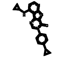 O=c1c2sc3nccc(NC4CC4)c3c2ncn1-c1ccc(C2CC2)cc1